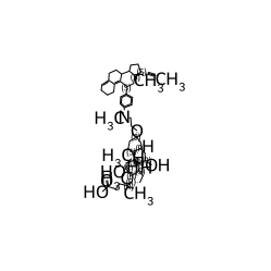 CC#C[C@H]1CCC2C3CCC4=CCCCC4=C3[C@H](c3ccc(N(C)CCO[C@H]4CC[C@@]5(C)[C@@H](C4)C[C@@H](O)[C@@H]4[C@@H]5C[C@H](O)[C@]5(C)[C@@H]([C@H](C)CCC(=O)O)CC[C@@H]45)cc3)C[C@@]21C